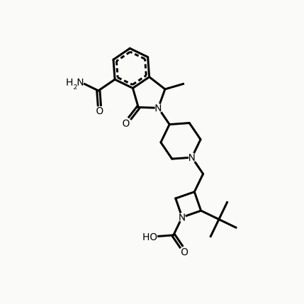 CC1c2cccc(C(N)=O)c2C(=O)N1C1CCN(CC2CN(C(=O)O)C2C(C)(C)C)CC1